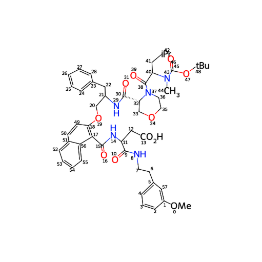 COc1cccc(CCNC(=O)C(CC(=O)O)NC(=O)c2c(OCC(Cc3ccccc3)NC(=O)[C@H]3COCCN3C(=O)C(CC(C)C)N(C)C(=O)OC(C)(C)C)ccc3ccccc23)c1